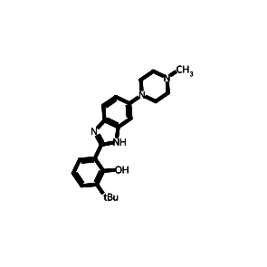 CN1CCN(c2ccc3nc(-c4cccc(C(C)(C)C)c4O)[nH]c3c2)CC1